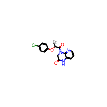 CCC(Oc1ccc(Cl)cc1)C(=O)N1CC(=O)Nc2cccnc21